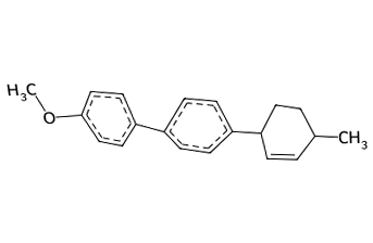 COc1ccc(-c2ccc(C3C=CC(C)CC3)cc2)cc1